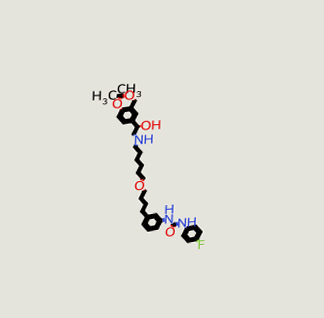 CC1(C)OCc2cc([C@@H](O)CNCCCCCCOCCCCc3cccc(NC(=O)Nc4ccc(F)cc4)c3)ccc2O1